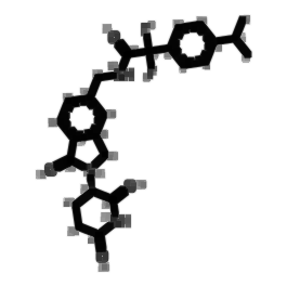 CC(C)c1ccc(C(F)(F)C(=O)NCc2ccc3c(c2)CN([C@@H]2CCC(=O)NC2=O)C3=O)cc1